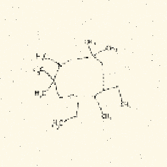 CCC1CC(C)(C)CN(C)C(C)(C)CC(CC)C1C